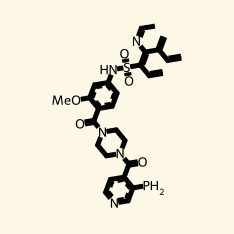 C=CC(=C)C(/N=C\C)=C(\C=C)S(=O)(=O)Nc1ccc(C(=O)N2CCN(C(=O)c3ccncc3P)CC2)c(OC)c1